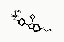 CCOc1ccc2c(c1)N(C1CCC1)C(c1ccc(NS(=O)(=O)CC)cc1)C2